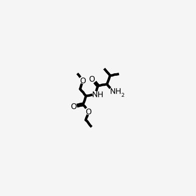 CCOC(=O)C(COC)NC(=O)C(N)C(C)C